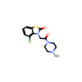 O=NN1CCN(C(=O)Cn2c(=O)sc3cccc(Cl)c32)CC1